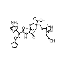 C#CCn1nnnc1SCC1(C(=O)O)CS[C@@H]2C(NC(=O)C(=NOC3=CCCC3)c3nsc(N)n3)C(=O)N2C1